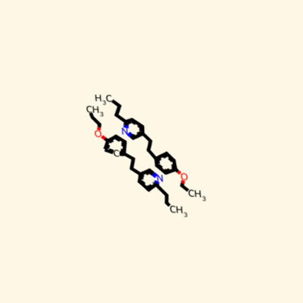 CCCOc1ccc(CCc2ccc(CCC)nc2)cc1.CCCc1ccc(CCc2ccc(OCC)cc2)cn1